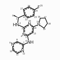 C[C@H](Nc1nc(Nc2cnccn2)cc(N2CCCC2)n1)c1ccc(F)cc1